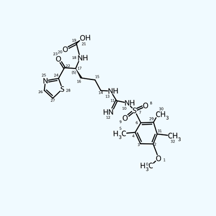 COc1cc(C)c(S(=O)(=O)NC(=N)NCCC[C@H](NC(=O)O)C(=O)c2nccs2)c(C)c1C